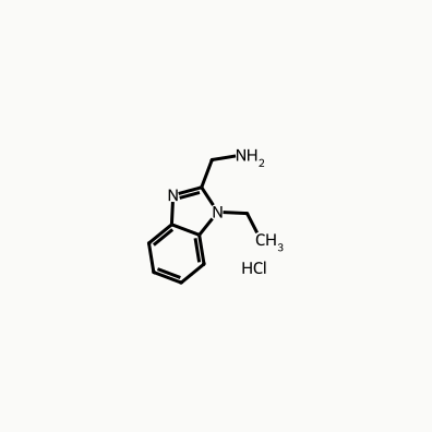 CCn1c(CN)nc2ccccc21.Cl